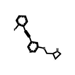 Fc1ccccc1C#Cc1cncc(OCC2CCN2)c1